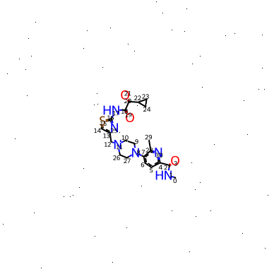 CNC(=O)c1ccc(N2CCN(Cc3csc(NC(=O)C(=O)C4CC4)n3)CC2)c(C)n1